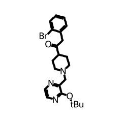 CC(C)(C)Oc1nccnc1CN1CCC(C(=O)Cc2ccccc2Br)CC1